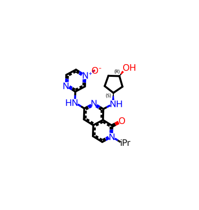 CC(C)n1ccc2cc(Nc3c[n+]([O-])ccn3)nc(N[C@H]3CC[C@@H](O)C3)c2c1=O